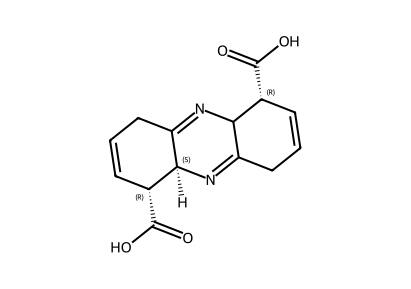 O=C(O)[C@@H]1C=CCC2=N[C@@H]3C(=NC21)CC=C[C@H]3C(=O)O